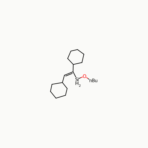 CCCCO[SiH2]C(=CC1CCCCC1)C1CCCCC1